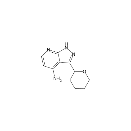 Nc1ccnc2[nH]nc(C3CCCCO3)c12